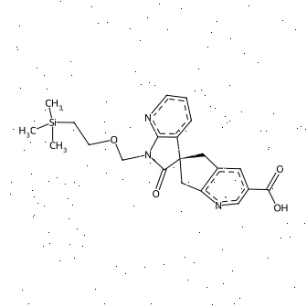 C[Si](C)(C)CCOCN1C(=O)[C@]2(Cc3cc(C(=O)O)cnc3C2)c2cccnc21